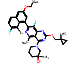 CCc1c(F)ccc2cc(OCOC)cc(-c3nc(NC)c4c(N5CCC[C@@](C)(O)C5)nc(OCC5(C=O)CC5)nc4c3F)c12